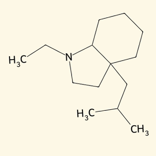 CCN1CCC2(CC(C)C)CCCCC12